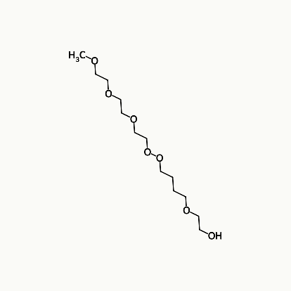 COCCOCCOCCOOCCCCOCCO